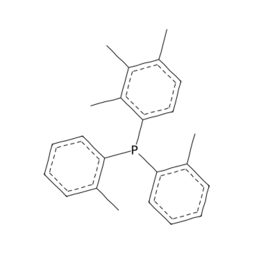 Cc1ccccc1P(c1ccccc1C)c1ccc(C)c(C)c1C